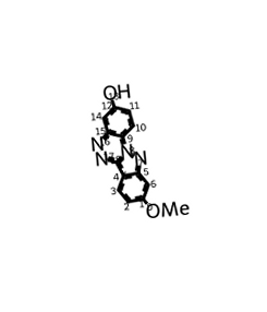 COc1ccc2c(c1)nn1c3ccc(O)cc3nnc21